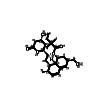 CCC(C)(C)C(=O)O[C@H]1C[C@@H](CO)C=C2C=C[C@@H](C)[C@@H](CC[C@@H]3C[C@@H](O)CC(=O)O3)[C@@H]21